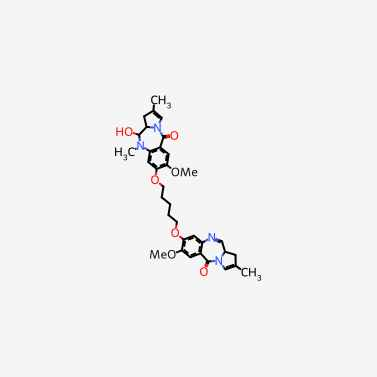 COc1cc2c(cc1OCCCCCOc1cc3c(cc1OC)C(=O)N1C=C(C)CC1C(O)N3C)N=CC1CC(C)=CN1C2=O